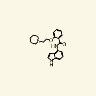 O=C(Nc1cccc2[nH]ccc12)c1ccccc1OCCN1CCCCC1